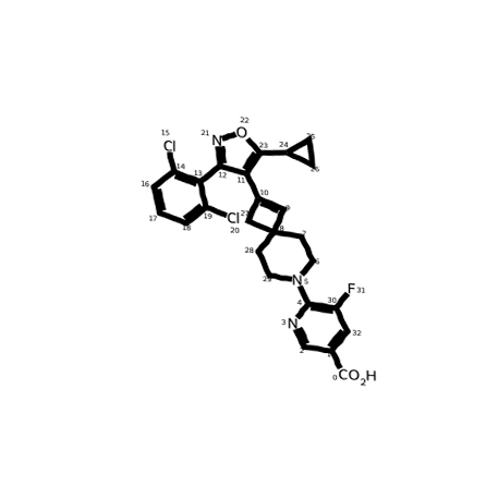 O=C(O)c1cnc(N2CCC3(C=C(c4c(-c5c(Cl)cccc5Cl)noc4C4CC4)C3)CC2)c(F)c1